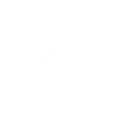 CC/C=C/C=C/OP(N)O